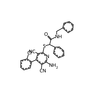 N#Cc1c(N)nc(SC(C(=O)NCc2ccccc2)c2ccccc2)c(C#N)c1-c1ccccc1Cl